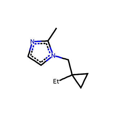 CCC1(Cn2ccnc2C)CC1